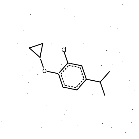 CC(C)c1ccc(OC2CC2)c(Cl)c1